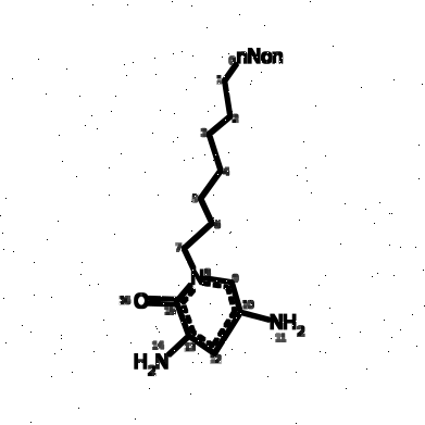 CCCCCCCCCCCCCCCCn1cc(N)cc(N)c1=O